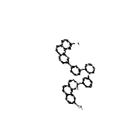 Cc1ccc2ccc3ccc(-c4cccc(-c5ccccc5-c5cccc(-c6ccc7ccc8ccc(C)cc8c7n6)c5)c4)nc3c2c1